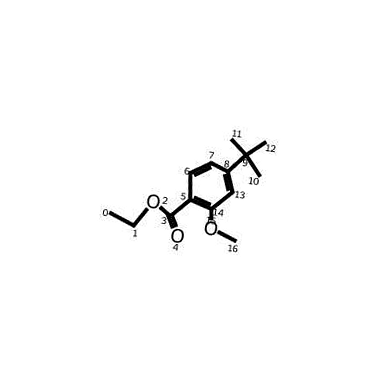 CCOC(=O)c1ccc(C(C)(C)C)cc1OC